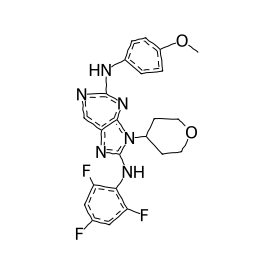 COc1ccc(Nc2ncc3nc(Nc4c(F)cc(F)cc4F)n(C4CCOCC4)c3n2)cc1